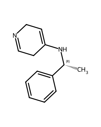 C[C@@H](NC1=CCN=CC1)c1ccccc1